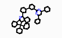 c1ccc(-c2cc(-c3ccccc3)nc(-c3cccc(-c4cccc(-c5nc6c(c7ccccc57)C(c5ccccc5)(c5ccccc5)c5ccccc5-6)c4)c3)n2)cc1